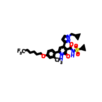 O=C(NS(=O)(=O)C1CC1)c1c(-c2ccn(CC3CC3)n2)cc(-c2ccc(OCCCCCC(F)(F)F)cc2C(F)(F)F)[nH]c1=O